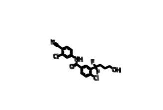 N#Cc1ccc(NC(=O)c2ccc(Cl)c(C(F)(F)CCCO)c2)cc1Cl